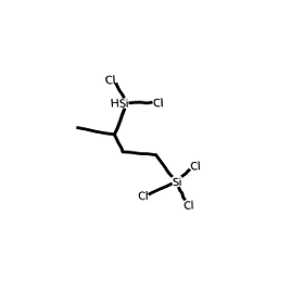 CC(CC[Si](Cl)(Cl)Cl)[SiH](Cl)Cl